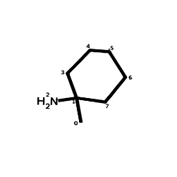 CC1(N)CC[CH]CC1